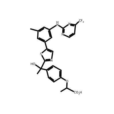 Cc1cc(Nc2nccc(C(F)(F)F)n2)cc(-c2cnc(C(C)(O)c3ccc(OC(C)C(=O)O)cc3)s2)c1